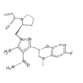 C=CC(=O)N1CCC[C@H]1Cn1nc(C2CN(C)c3cc(F)ccc3O2)c(C(N)=O)c1N